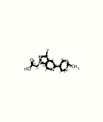 Cc1ncc(-c2cc3c(I)nn(CC(=O)O)c3cn2)cn1